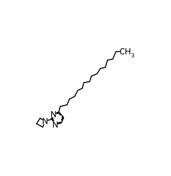 CCCCCCCCCCCCCCCCc1ccnc(N2CCC2)n1